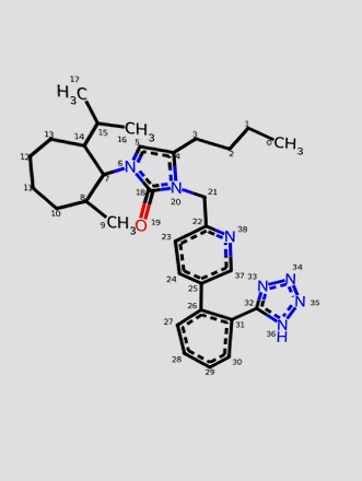 CCCCc1cn(C2C(C)CCCCC2C(C)C)c(=O)n1Cc1ccc(-c2ccccc2-c2nnn[nH]2)cn1